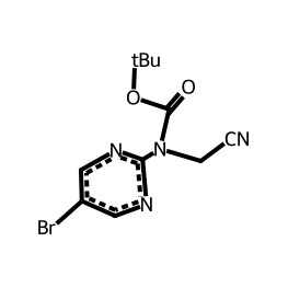 CC(C)(C)OC(=O)N(CC#N)c1ncc(Br)cn1